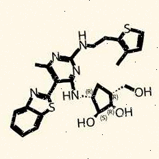 Cc1ccsc1CCNc1nc(C)c(-c2nc3ccccc3s2)c(N[C@@H]2C[C@H](CO)[C@@H](O)[C@H]2O)n1